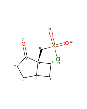 O=C1CCC2CC[C@@]12CS(=O)(=O)Cl